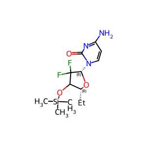 CC[C@H]1O[C@@H](n2ccc(N)nc2=O)C(F)(F)C1O[Si](C)(C)C